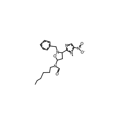 CCCCCCN(C=O)C1CC(c2ncc([N+](=O)[O-])n2C)N(Cc2ccccc2)O1